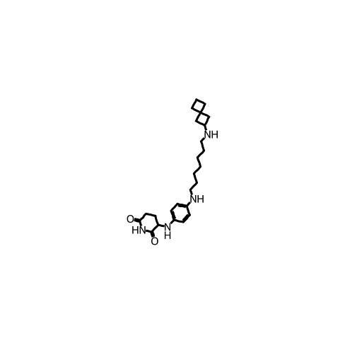 O=C1CCC(Nc2ccc(NCCCCCCCNC3CC4(CCC4)C3)cc2)C(=O)N1